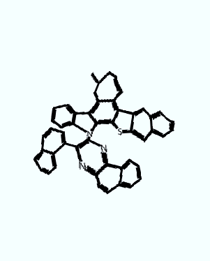 CC1CC=Cc2c(c3c4ccccc4n(-c4nc5c(ccc6ccccc65)nc4-c4cccc5ccccc45)c3c3sc4cc5ccccc5cc4c23)C1